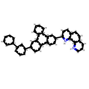 c1ccc(-c2cccc(-c3ccc4c5ccc(-c6ccc7ccc8cccnc8c7n6)cc5c5ccccc5c4c3)c2)cc1